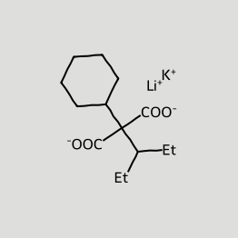 CCC(CC)C(C(=O)[O-])(C(=O)[O-])C1CCCCC1.[K+].[Li+]